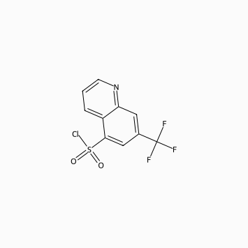 O=S(=O)(Cl)c1cc(C(F)(F)F)cc2ncccc12